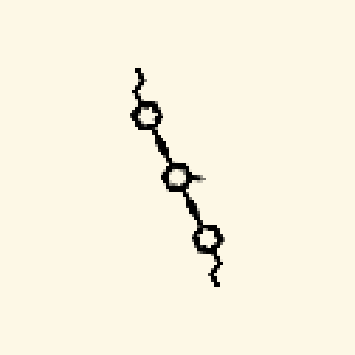 CCCc1ccc(C#Cc2ccc(C#Cc3ccc(CCC)cc3)c(F)c2)cc1